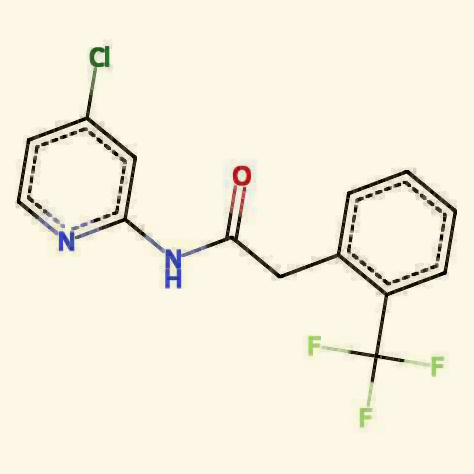 O=C(Cc1ccccc1C(F)(F)F)Nc1cc(Cl)ccn1